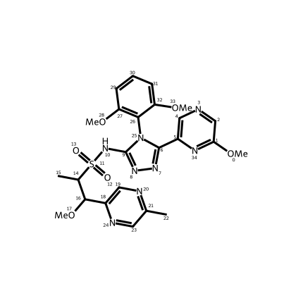 COc1cncc(-c2nnc(NS(=O)(=O)C(C)C(OC)c3cnc(C)cn3)n2-c2c(OC)cccc2OC)n1